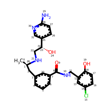 C[C@H](Cc1cccc(C(=O)NCc2cc(Cl)ccc2O)c1)NC[C@@H](O)c1ccc(N)nc1